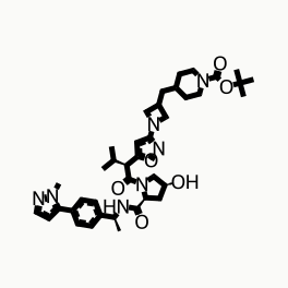 CC(C)[C@H](C(=O)N1C[C@H](O)C[C@H]1C(=O)N[C@@H](C)c1ccc(-c2ccnn2C)cc1)c1cc(N2CC(CC3CCN(C(=O)OC(C)(C)C)CC3)C2)no1